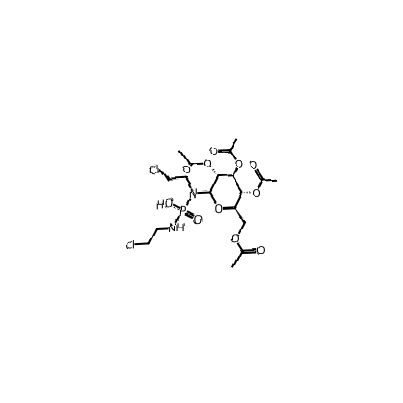 CC(=O)OC[C@H]1OC(N(CCCl)P(=O)(O)NCCCl)[C@H](OC(C)=O)[C@@H](OC(C)=O)[C@@H]1OC(C)=O